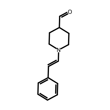 O=CC1CCN(C=Cc2ccccc2)CC1